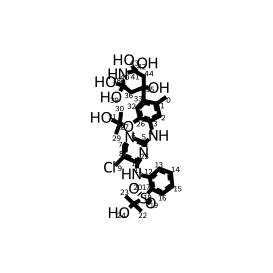 Cc1cc(Nc2ncc(Cl)c(Nc3ccccc3S(=O)(=O)C(C)(C)O)n2)c(OC(C)(C)O)cc1C1(O)CC(O)(O)NC(O)(O)C1